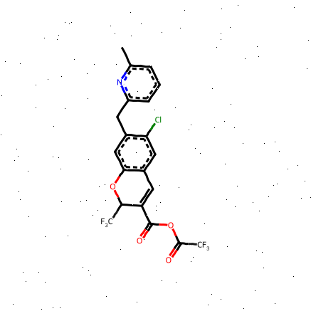 Cc1cccc(Cc2cc3c(cc2Cl)C=C(C(=O)OC(=O)C(F)(F)F)C(C(F)(F)F)O3)n1